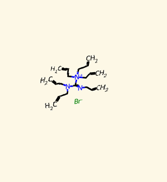 C=CCN=C(N(CC=C)CC=C)[N+](CC=C)(CC=C)CC=C.[Br-]